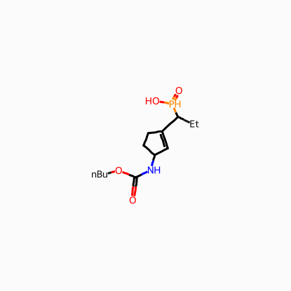 CCCCOC(=O)NC1C=C(C(CC)[PH](=O)O)CC1